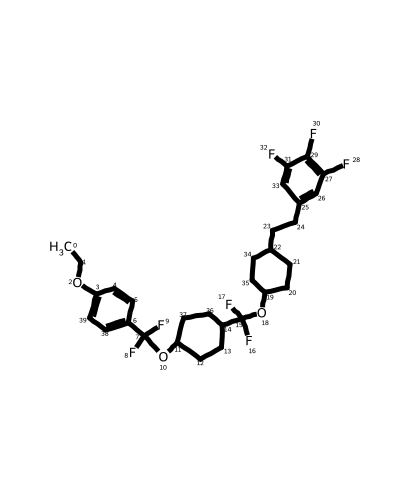 CCOc1ccc(C(F)(F)OC2CCC(C(F)(F)OC3CCC(CCc4cc(F)c(F)c(F)c4)CC3)CC2)cc1